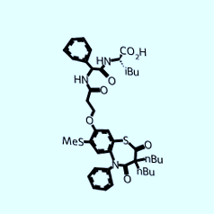 CCCCC1(CCCC)C(=O)Sc2cc(OCCC(=O)NC(C(=O)N[C@@H](C(=O)O)[C@@H](C)CC)c3ccccc3)c(SC)cc2N(c2ccccc2)C1=O